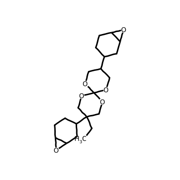 CCC1(C2CCC3OC3C2)COC2(OCC(C3CCC4OC4C3)CO2)OC1